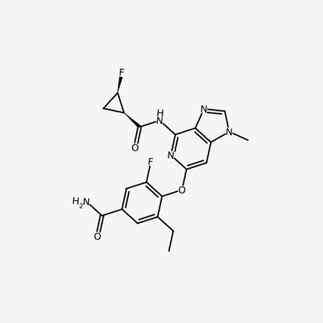 CCc1cc(C(N)=O)cc(F)c1Oc1cc2c(ncn2C)c(NC(=O)[C@H]2C[C@H]2F)n1